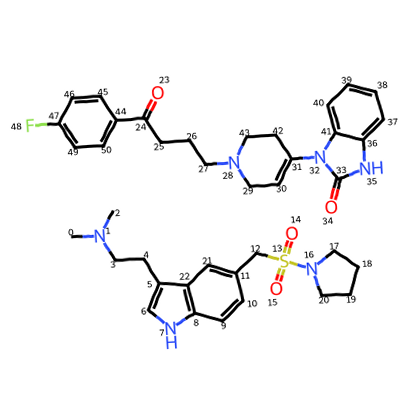 CN(C)CCc1c[nH]c2ccc(CS(=O)(=O)N3CCCC3)cc12.O=C(CCCN1CC=C(n2c(=O)[nH]c3ccccc32)CC1)c1ccc(F)cc1